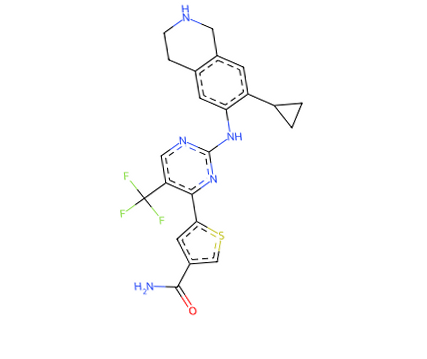 NC(=O)c1csc(-c2nc(Nc3cc4c(cc3C3CC3)CNCC4)ncc2C(F)(F)F)c1